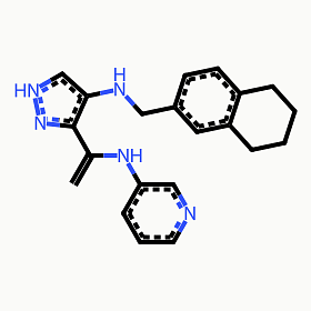 C=C(Nc1cccnc1)c1n[nH]cc1NCc1ccc2c(c1)CCCC2